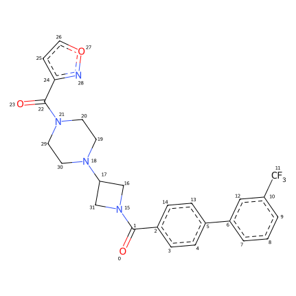 O=C(c1ccc(-c2cccc(C(F)(F)F)c2)cc1)N1CC(N2CCN(C(=O)c3ccon3)CC2)C1